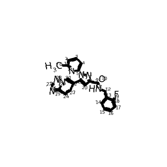 Cc1cccc(-n2nc(C(=O)NCc3ccccc3F)cc2-c2ccc3ncnn3c2)n1